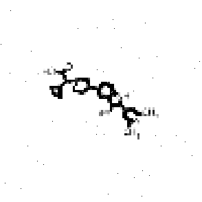 Cc1cc(-c2[nH]c3ccc(C4CCN(C(C(N)=O)C5CCC5)CC4)cc3c2C(C)C)cc(C)n1